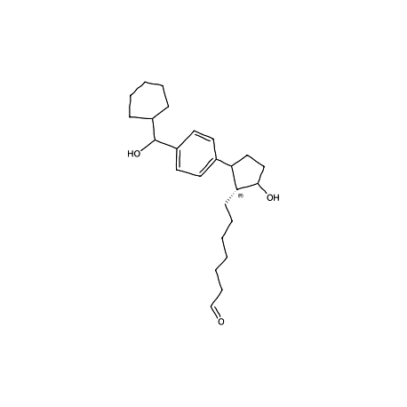 O=CCCCCCC[C@H]1C(O)CCC1c1ccc(C(O)C2CCCCC2)cc1